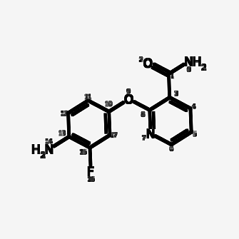 NC(=O)c1cccnc1Oc1ccc(N)c(F)c1